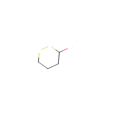 OC1CCCSS1